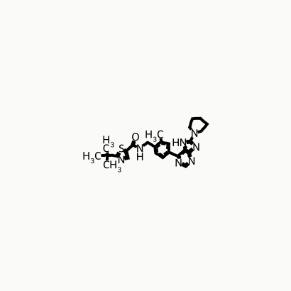 Cc1cc(-c2ncnc3nc(N4CCCCC4)[nH]c23)ccc1CNC(=O)c1cnc(C(C)(C)C)s1